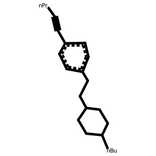 CCCC#Cc1ccc(CCC2CCC(CCCC)CC2)cc1